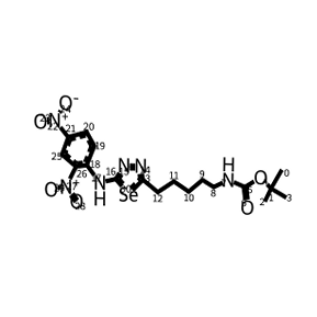 CC(C)(C)OC(=O)NCCCCCc1nnc(Nc2ccc([N+](=O)[O-])cc2[N+](=O)[O-])[se]1